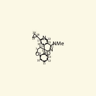 CNC1=NC(=O)C2(CCOc3ccccc32)c2cc(C3CC3)ncc21